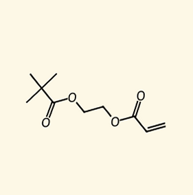 C=CC(=O)OCCOC(=O)C(C)(C)C